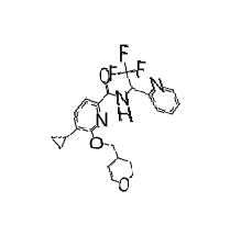 O=C(NC(c1ccccn1)C(F)(F)F)c1ccc(C2CC2)c(OCC2CCOCC2)n1